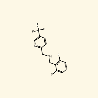 Fc1cccc(F)c1CNCc1ccc(C(F)(F)F)cn1